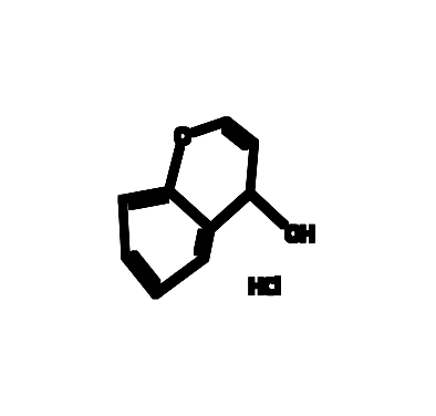 Cl.OC1C=COc2ccccc21